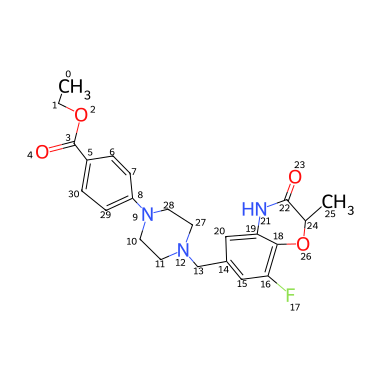 CCOC(=O)c1ccc(N2CCN(Cc3cc(F)c4c(c3)NC(=O)C(C)O4)CC2)cc1